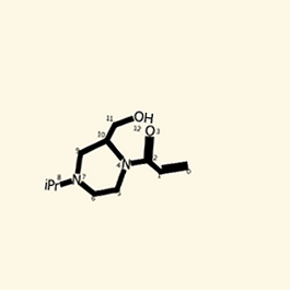 C=CC(=O)N1CCN(C(C)C)CC1CO